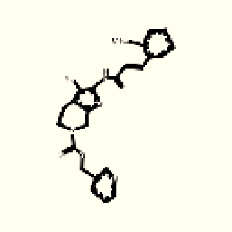 COc1ccccc1C=CC(=O)Nc1sc2c(c1C#N)CCN(C(=O)OCc1cccnc1)C2